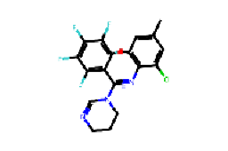 Cc1cc(C)c(/N=C(\c2c(F)c(F)c(F)c(F)c2F)N2C=NCCC2)c(Cl)c1